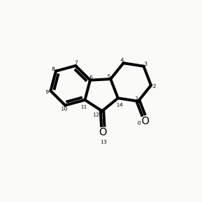 O=C1CCCC2c3ccccc3C(=O)C12